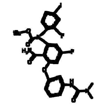 CN(C)C(=O)Nc1cccc(Oc2cc(F)cc(N(C(=O)OC(C)(C)C)c3ccc(I)cc3F)c2C(N)=O)c1